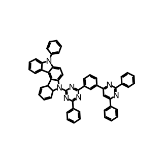 C1=CC2c3c(ccc4c3c3ccccc3n4-c3ccccc3)N(c3nc(-c4ccccc4)nc(-c4cccc(-c5cc(-c6ccccc6)nc(-c6ccccc6)n5)c4)n3)C2C=C1